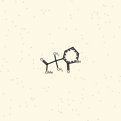 COC(=O)C(C)(C)c1ccc[nH]c1=O